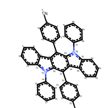 N#Cc1ccc(-c2c3c4ccccc4n(-c4ccccc4)c3c(-c3ccc(C#N)cc3)c3c4ccccc4n(-c4ccccc4)c23)cc1